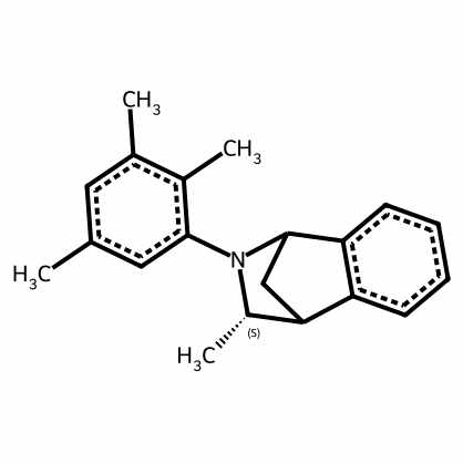 Cc1cc(C)c(C)c(N2C3CC(c4ccccc43)[C@@H]2C)c1